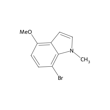 COc1ccc(Br)c2c1ccn2C